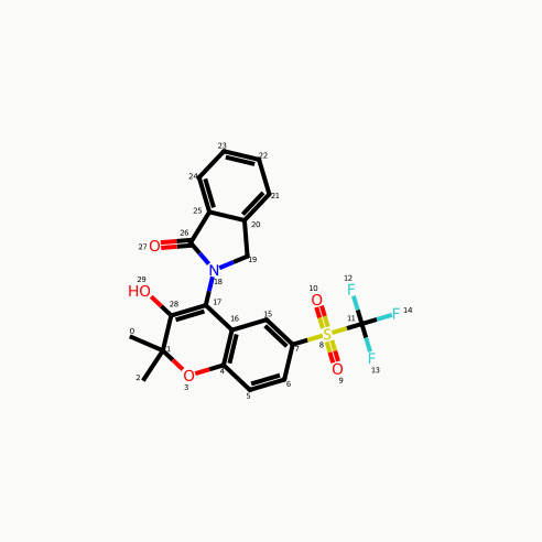 CC1(C)Oc2ccc(S(=O)(=O)C(F)(F)F)cc2C(N2Cc3ccccc3C2=O)=C1O